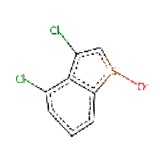 [O-][s+]1cc(Cl)c2c(Cl)cccc21